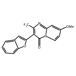 COc1ccn2c(=O)c(-c3cc4ccccc4o3)c(C(F)(F)F)nc2c1